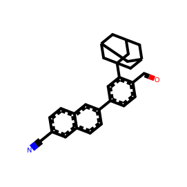 N#Cc1ccc2cc(-c3ccc(C=O)c(C45CC6CC(CC(C6)C4)C5)c3)ccc2c1